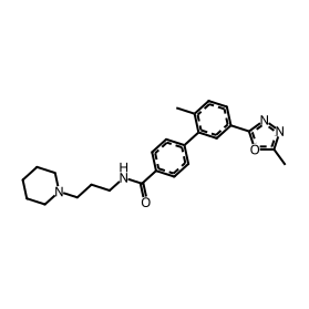 Cc1nnc(-c2ccc(C)c(-c3ccc(C(=O)NCCCN4CCCCC4)cc3)c2)o1